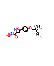 CC(C)COc1ccc(-c2cc(C(=O)NO)no2)cc1